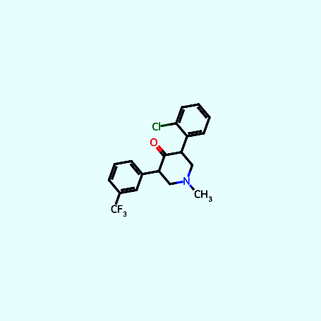 CN1CC(c2cccc(C(F)(F)F)c2)C(=O)C(c2ccccc2Cl)C1